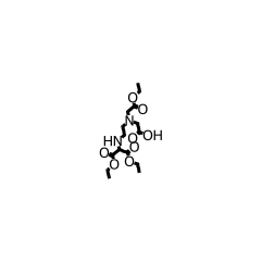 CCOC(=O)CN(CCNC(C(=O)OCC)C(=O)OCC)CC(=O)O